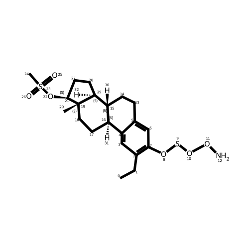 CCc1cc2c(cc1OSOON)CC[C@@H]1[C@@H]2CC[C@]2(C)[C@@H](OS(C)(=O)=O)CC[C@@H]12